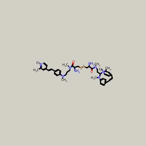 CC[n+]1ccc(/C=C/c2ccc(N(C)CCCN(C)C(=O)C(N)CSSCC(N)C(=O)N(C)CCC3N(C)c4ccc(cc4)/C=C/C4=CC(C)[N+]3(CC)C=C4)cc2)cc1C